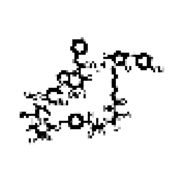 CC[C@H](C)[C@@H]([C@@H](CC(=O)N1CCC[C@H]1[C@H](OC)[C@@H](C)C(=O)NC(Cc1ccccc1)C(=O)O)OC)N(C)C(=O)[C@@H](NC(=O)[C@H](C(C)C)N(C)C(=O)OCc1ccc(NC(=O)[C@H](C)NC(=O)[C@@H](NC(=O)CCCCCN2C(=O)C=C(Oc3ccc(C#N)cc3)C2=O)C(C)C)cc1)C(C)C